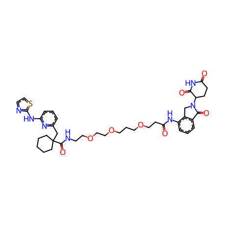 O=C1CCC(N2Cc3c(NC(=O)CCOCCCOCCOCCNC(=O)C4(Cc5cccc(Nc6nccs6)n5)CCCCC4)cccc3C2=O)C(=O)N1